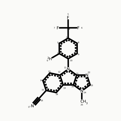 [2H]c1cc(C(F)(F)F)ccc1-n1c2ccc(C#N)cc2c2c1ncn2C